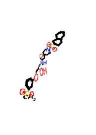 CS(=O)(=O)c1cccc(OC[C@@H](O)CNC2COC3(CCN(S(=O)(=O)c4ccc5ccccc5c4)CC3)C2)c1